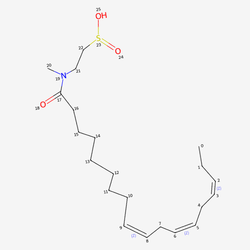 CC/C=C\C/C=C\C/C=C\CCCCCCCC(=O)N(C)CCS(=O)O